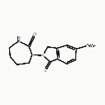 COc1ccc2c(c1)CN([C@H]1CCCCNC1=O)C2=O